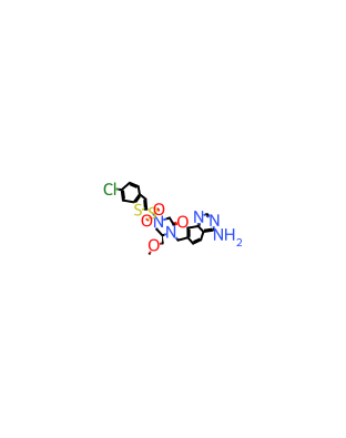 COC[C@H]1CN(S(=O)(=O)c2cc3ccc(Cl)cc3s2)CC(=O)N1Cc1ccc2c(N)ncnc2c1